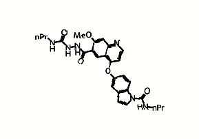 CCCNC(=O)NNC(=O)c1cc2c(Oc3ccc4c(ccn4C(=O)NCCC)c3)ccnc2cc1OC